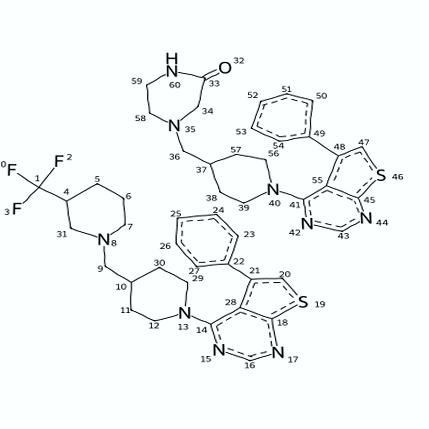 FC(F)(F)C1CCCN(CC2CCN(c3ncnc4scc(-c5ccccc5)c34)CC2)C1.O=C1CN(CC2CCN(c3ncnc4scc(-c5ccccc5)c34)CC2)CCN1